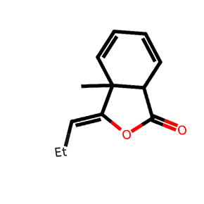 CC/C=C1\OC(=O)C2C=CC=CC12C